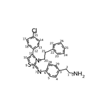 NCCc1ccc(N=c2scc(-c3ccc(Cl)cc3)n2CCc2ccccc2)cc1